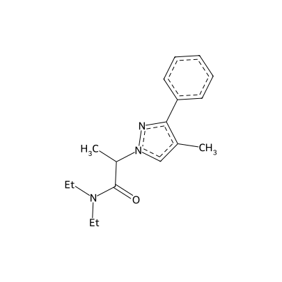 CCN(CC)C(=O)C(C)n1cc(C)c(-c2ccccc2)n1